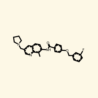 Cc1c(NC(=O)c2ccc(OCc3cccc(F)c3)cc2)ccc2cc(CN3CCCC3)cnc12